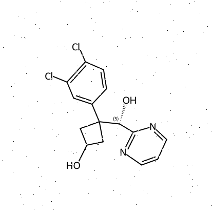 OC1CC(c2ccc(Cl)c(Cl)c2)([C@H](O)c2ncccn2)C1